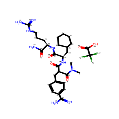 CN(C)C(=O)C(Cc1ccc(C(=N)N)cc1)C(=O)N[C@H](CC1CCCCC1)C(=O)N[C@H](CCCNC(=N)N)C(N)=O.O=C(O)C(F)(F)F